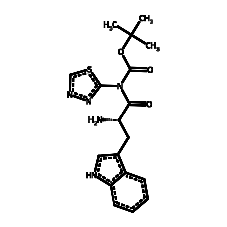 CC(C)(C)OC(=O)N(C(=O)[C@@H](N)Cc1c[nH]c2ccccc12)c1nncs1